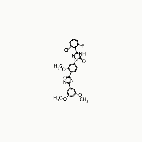 COc1cc(OC)cc(-c2noc(-c3ccc(-n4nc(-c5c(F)cccc5Cl)[nH]c4=O)cc3OC)n2)c1